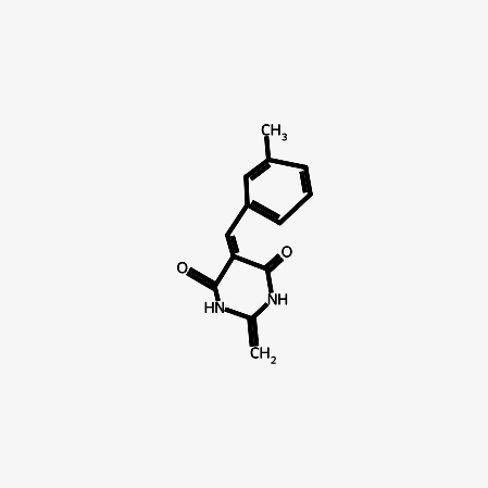 C=c1[nH]c(=O)c(=Cc2cccc(C)c2)c(=O)[nH]1